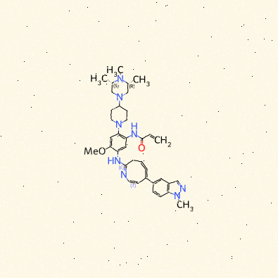 C=CC(=O)Nc1cc(N/C2=N/C=C\C(c3ccc4c(cnn4C)c3)=C=CC2)c(OC)cc1N1CCC(N2C[C@@H](C)N(C)[C@@H](C)C2)CC1